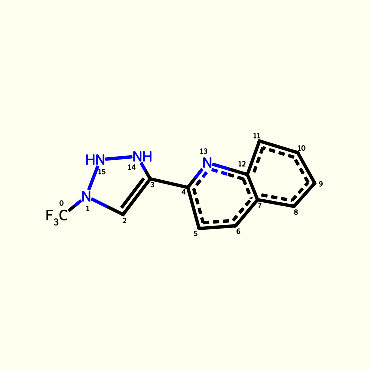 FC(F)(F)N1C=C(c2ccc3ccccc3n2)NN1